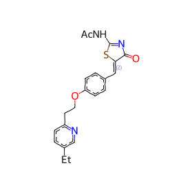 CCc1ccc(CCOc2ccc(/C=C3\SC(NC(C)=O)=NC3=O)cc2)nc1